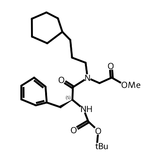 COC(=O)CN(CCCC1CCCCC1)C(=O)[C@H](Cc1ccccc1)NC(=O)OC(C)(C)C